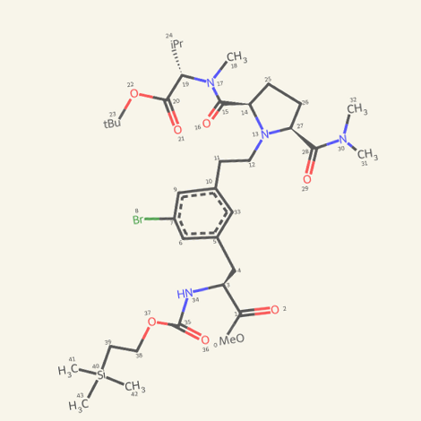 COC(=O)[C@H](Cc1cc(Br)cc(CCN2[C@@H](C(=O)N(C)[C@H](C(=O)OC(C)(C)C)C(C)C)CC[C@H]2C(=O)N(C)C)c1)NC(=O)OCC[Si](C)(C)C